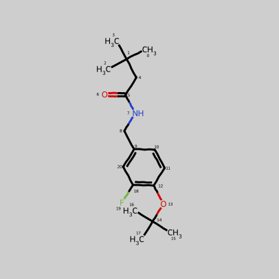 CC(C)(C)CC(=O)NCc1ccc(OC(C)(C)C)c(F)c1